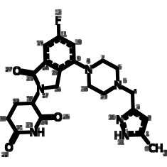 Cc1cc(CN2CCN(c3cc(F)cc4c3CN(C3CCC(=O)NC3=O)C4=O)CC2)n[nH]1